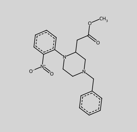 COC(=O)CC1CN(Cc2ccccc2)CCN1c1ccccc1[N+](=O)[O-]